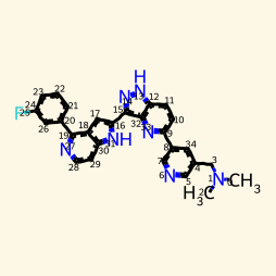 CN(C)Cc1cncc(-c2ccc3[nH]nc(-c4cc5c(-c6cccc(F)c6)nccc5[nH]4)c3n2)c1